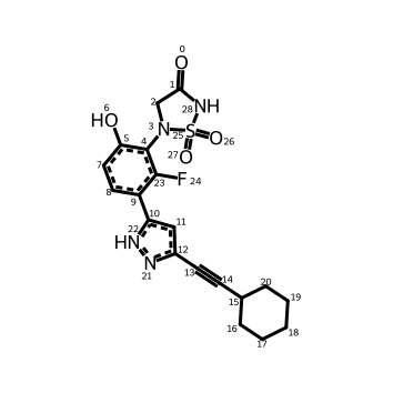 O=C1CN(c2c(O)ccc(-c3cc(C#CC4CCCCC4)n[nH]3)c2F)S(=O)(=O)N1